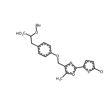 CCC(C)OC(Cc1ccc(OCc2nc(-c3ccc(Cl)s3)oc2C)cc1)C(=O)O